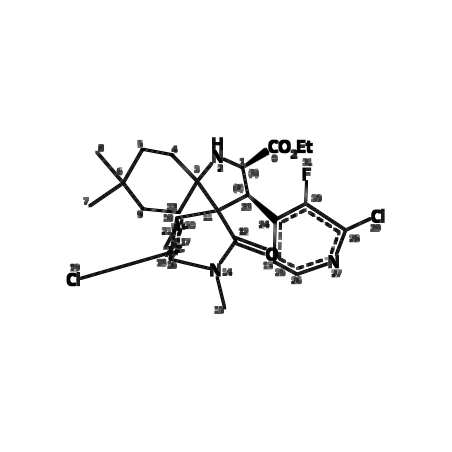 CCOC(=O)[C@@H]1NC2(CCC(C)(C)CC2)C2(C(=O)N(C)c3cc(Cl)ccc32)[C@@H]1c1ccnc(Cl)c1F